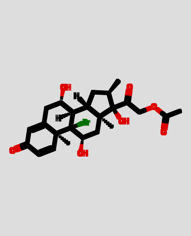 CC(=O)OCC(=O)[C@@]1(O)[C@H](C)C[C@H]2[C@@H]3[C@@H](O)CC4=CC(=O)C=C[C@]4(C)[C@@]3(Br)[C@@H](O)C[C@@]21C